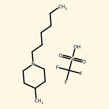 CCCCCCN1CCC(C)CC1.O=S(=O)(O)C(F)(F)F